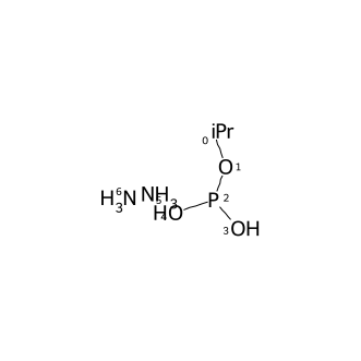 CC(C)OP(O)O.N.N